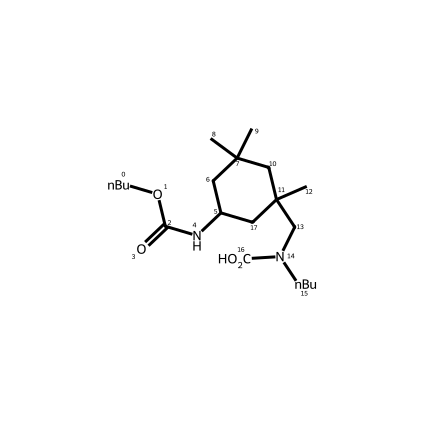 CCCCOC(=O)NC1CC(C)(C)CC(C)(CN(CCCC)C(=O)O)C1